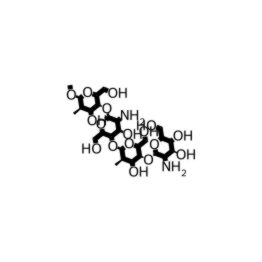 CO[C@H]1OC(CO)[C@H](O[C@@H]2OC(CO)C(O[C@H]3OC(CO)[C@H](O[C@@H]4OC(CO)C(O)[C@H](O)C4N)C(O)[C@H]3C)[C@H](O)C2N)C(O)[C@H]1C